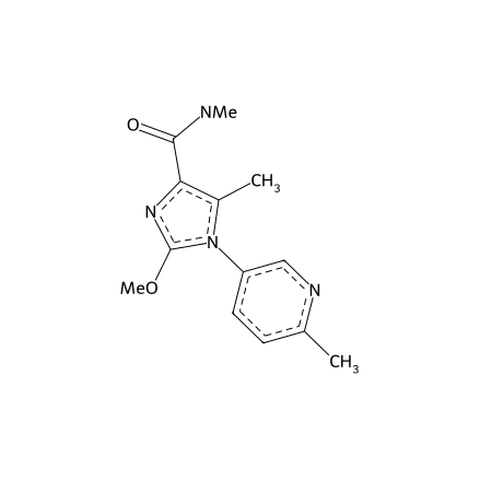 CNC(=O)c1nc(OC)n(-c2ccc(C)nc2)c1C